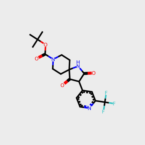 CC(C)(C)OC(=O)N1CCC2(CC1)NC(=O)C(c1ccnc(C(F)(F)F)c1)C2=O